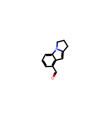 O=Cc1cccc2c1cc1n2CCC1